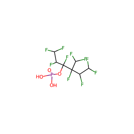 O=P(O)(O)OC(F)(C(F)C(F)F)C(F)(C(F)F)C(F)C(F)F